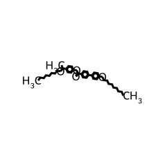 CCCCCCCCCCOc1ccc(-c2ccc(C(=O)Oc3ccc(C(C)OCCCCCCCC)cc3)cc2)cc1